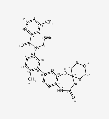 CSCN(C(=O)c1cc(C(F)(F)F)cnn1)c1ccc(C)c(-c2ccc3c(c2)OC2(CCOCC2)CC(=O)N3)c1